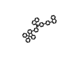 c1ccc(C2(c3ccccc3)c3ccccc3-c3c(-c4cccc(N(c5ccc(-c6ccc(-c7cccc8ccccc78)cc6)cc5)c5cccc6ccccc56)c4)cccc32)cc1